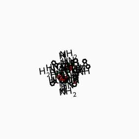 NCCCC[C@@H](NC(=O)[C@@H](Cc1c[nH]c2ccccc12)NC(=O)[C@@H](CCCCN)NC(=O)[C@@H](Cc1c[nH]c2ccccc12)NC(=O)CNC(=O)CNC(=O)[C@@H](Cc1c[nH]c2ccccc12)NC(=O)[C@@H](CCCCN)NC(=O)[C@@H](Cc1c[nH]c2ccccc12)NC(=O)[C@@H](CCCCN)NC(=O)[C@@H](Cc1c[nH]c2ccccc12)NC(=O)OCC1c2ccccc2-c2ccccc21)C(=O)N[C@H](Cc1c[nH]c2ccccc12)C(=O)O